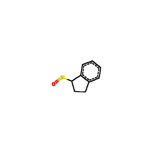 O=[S+]C1CCc2ccccc21